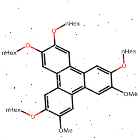 CCCCCCOc1cc2c(cc1OC)c1cc(OC)c(OCCCCCC)cc1c1cc(OCCCCCC)c(OCCCCCC)cc21